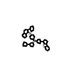 c1ccc(-c2cccc(N(c3ccc(-c4cccc5c4sc4ccccc45)cc3)c3ccc(-n4c5ccccc5c5ccc6ccccc6c54)cc3)c2)cc1